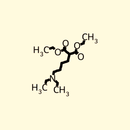 CCOC(=O)C(CCCCN(CC)CC)C(=O)OCC